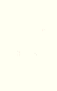 CCC1C(C(C)C)C2c3ccccc3NC2N1CC